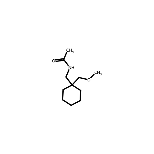 COCC1(CNC(C)=O)CCCCC1